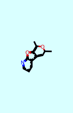 CC1=c2oc3ncccc3c2=CC(C)O1